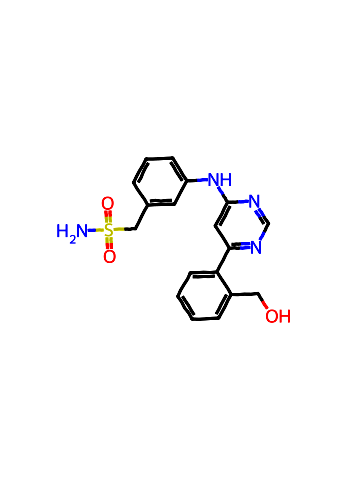 NS(=O)(=O)Cc1cccc(Nc2cc(-c3ccccc3CO)ncn2)c1